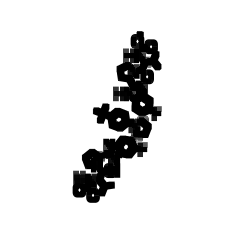 COC(=O)N[C@H](C(=O)N1CCCC1c1nc2cc(F)c([C@@H]3CC[C@H](c4cc5nc([C@@H]6CCCN6C(=O)[C@@H](NC(=O)O)C(C)C)[nH]c5cc4F)N3c3ccc(C(C)(C)C)cc3)cc2[nH]1)C(C)C